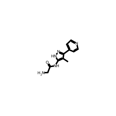 Cc1c(-c2ccncc2)n[nH]c1NC(=O)CN